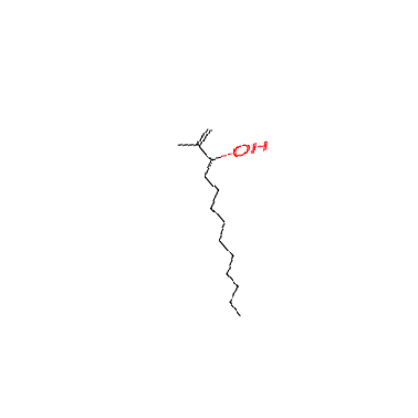 C=C(C)C(O)CCCCCCCCCC